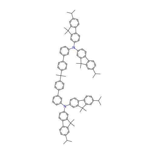 CC(C)c1ccc2c(c1)C(C)(C)c1cc(N(c3cccc(-c4ccc(C(C)(C)c5ccc(-c6cccc(N(c7ccc8c(c7)C(C)(C)c7cc(C(C)C)ccc7-8)c7ccc8c(c7)C(C)(C)c7cc(C(C)C)ccc7-8)c6)cc5)cc4)c3)c3ccc4c(c3)C(C)(C)c3cc(C(C)C)ccc3-4)ccc1-2